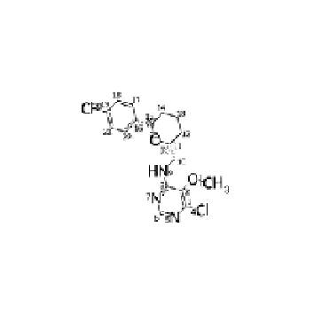 COc1c(Cl)ncnc1NC[C@H]1CCC[C@@H](c2ccc(Cl)cc2)O1